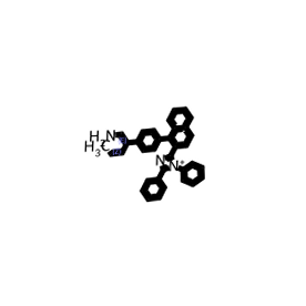 C/C=C\C(=C/N)c1ccc(-c2c(C3=[N+](c4ccccc4)C(c4ccccc4)=N3)ccc3ccccc23)cc1